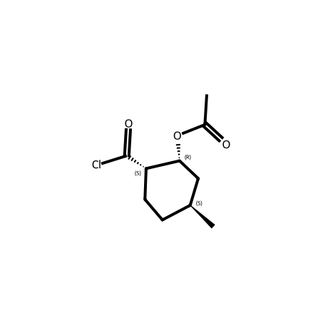 CC(=O)O[C@@H]1C[C@@H](C)CC[C@@H]1C(=O)Cl